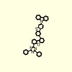 C1=CC2c3cc(-c4cccc5oc6c(-c7nc(-c8ccccc8)nc(-c8ccccc8)n7)cccc6c45)ccc3SC2C=C1n1c2ccccc2c2ccccc21